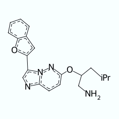 CC(C)CC(CN)Oc1ccc2ncc(-c3cc4ccccc4o3)n2n1